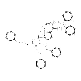 CC(C)(C)[Si](Nc1ncnn2c(C3(C#N)O[C@H](COCc4ccccc4)[C@@H](OCc4ccccc4)[C@H]3OCc3ccccc3)ccc12)(c1ccccc1)c1ccccc1